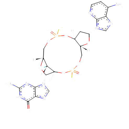 Nc1nc2c(ncn2[C@@H]2O[C@@H]3COP(=O)(S)O[C@H]4C[C@H](n5cnc6c(N)ccnc65)O[C@@H]4COP(=O)(S)O[C@@H]2[C@@H]3F)c(=O)[nH]1